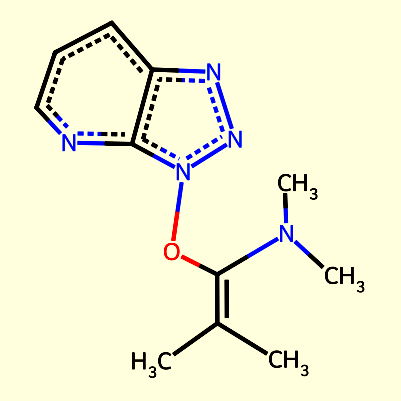 CC(C)=C(On1nnc2cccnc21)N(C)C